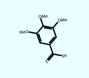 COc1cc(C(=S)S)cc(OC)c1OC